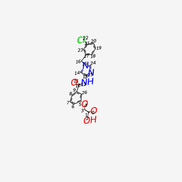 O=C(O)COc1cccc(C(=O)Nc2cn(Cc3cccc(Cl)c3)cn2)c1